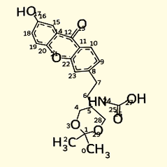 CC1(C)OCC(CCc2ccc3c(=O)c4cc(O)ccc4oc3c2)(NC(=O)O)CO1